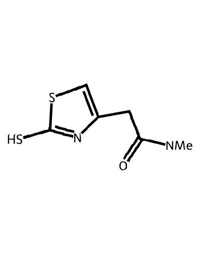 CNC(=O)Cc1csc(S)n1